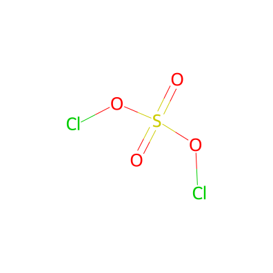 O=S(=O)(OCl)OCl